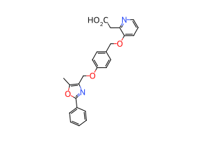 Cc1oc(-c2ccccc2)nc1COc1ccc(COc2cccnc2CC(=O)O)cc1